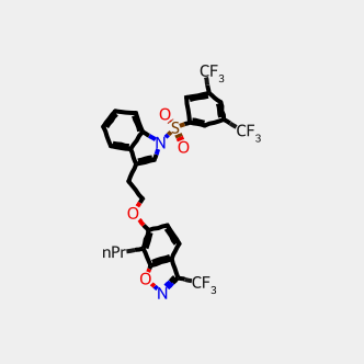 CCCc1c(OCCc2cn(S(=O)(=O)c3cc(C(F)(F)F)cc(C(F)(F)F)c3)c3ccccc23)ccc2c(C(F)(F)F)noc12